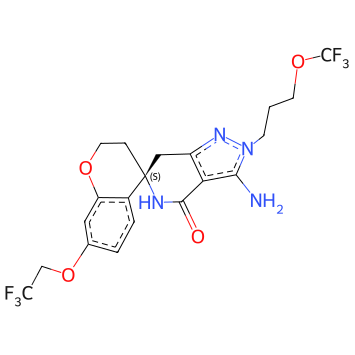 Nc1c2c(nn1CCCOC(F)(F)F)C[C@@]1(CCOc3cc(OCC(F)(F)F)ccc31)NC2=O